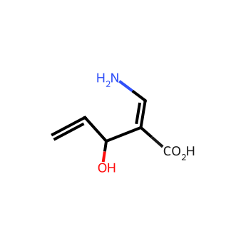 C=CC(O)C(=CN)C(=O)O